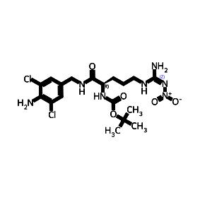 CC(C)(C)OC(=O)N[C@H](CCCN/C(N)=N\[N+](=O)[O-])C(=O)NCc1cc(Cl)c(N)c(Cl)c1